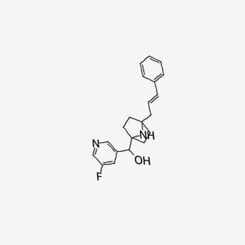 OC(c1cncc(F)c1)C12CCC(CC=Cc3ccccc3)(CC1)N2